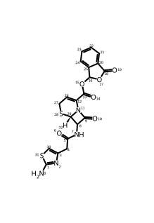 Nc1nc(CC(=O)NC2C(=O)N3C(C(=O)OC4OC(=O)c5ccccc54)=CCS[C@@H]23)cs1